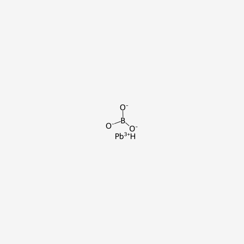 [O-]B([O-])[O-].[PbH+3]